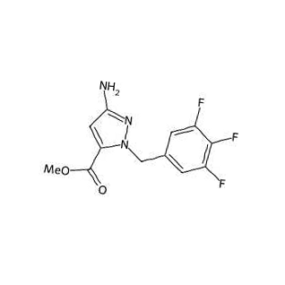 COC(=O)c1cc(N)nn1Cc1cc(F)c(F)c(F)c1